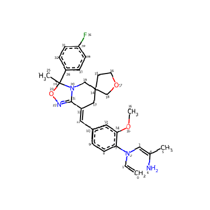 C=CN(/C=C(/C)N)c1ccc(/C=C2\CC3(CCOC3)CN3C2=NOC3(C)c2ccc(F)cc2)cc1OC